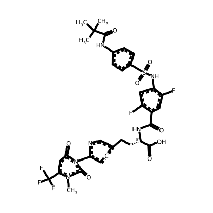 Cn1c(C(F)(F)F)cc(=O)n(-c2ccc(CC[C@H](NC(=O)c3cc(F)c(NS(=O)(=O)c4ccc(NC(=O)C(C)(C)C)cc4)cc3F)C(=O)O)cn2)c1=O